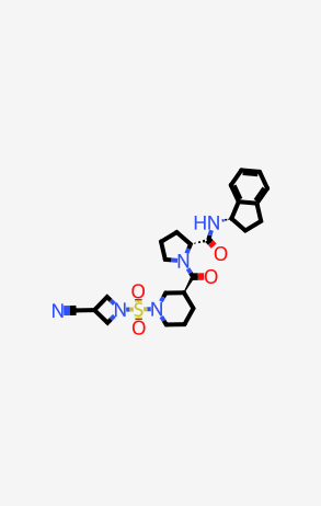 N#CC1CN(S(=O)(=O)N2CCC[C@H](C(=O)N3CCC[C@@H]3C(=O)N[C@H]3CCc4ccccc43)C2)C1